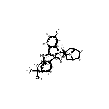 CC(C)(C)OC(=O)Nc1nn(C2CC3CCC(C2)N3C(=O)OCc2ccccc2)c2cc(Cl)nnc12